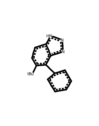 CC(C)(C)c1ccc2[nH]nnc2c1-c1ccccc1